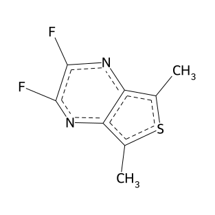 Cc1sc(C)c2nc(F)c(F)nc12